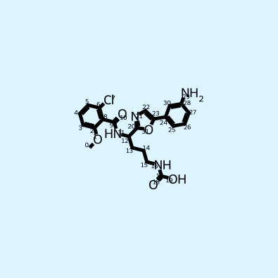 COc1cccc(Cl)c1C(=O)NC(CCCNC(=O)O)c1ncc(-c2cccc(N)c2)o1